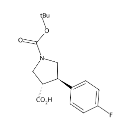 CC(C)(C)OC(=O)N1C[C@@H](C(=O)O)[C@H](c2ccc(F)cc2)C1